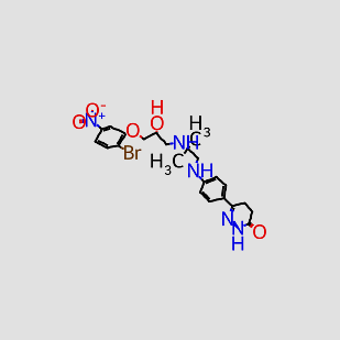 CC(C)(CNc1ccc(C2=NNC(=O)CC2)cc1)NCC(O)COc1cc([N+](=O)[O-])ccc1Br